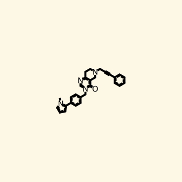 Cn1cccc1-c1ccc(Cn2cnc3c(c2=O)CN(CC#Cc2ccccc2)CC3)cc1